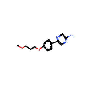 COCCCOc1ccc(-c2cnc(N)cn2)cc1